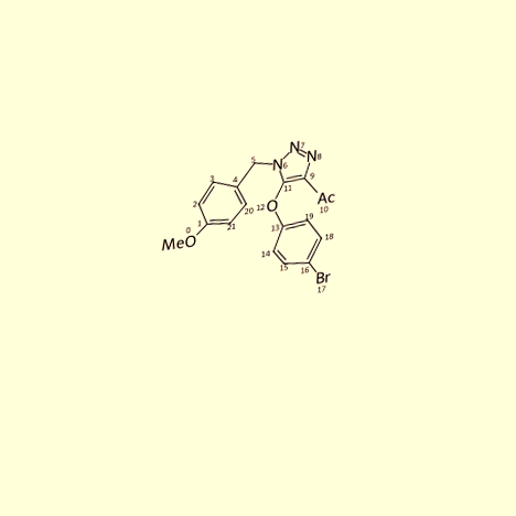 COc1ccc(Cn2nnc(C(C)=O)c2Oc2ccc(Br)cc2)cc1